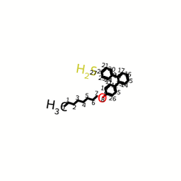 CCCCCCCCOc1ccc(-c2ccccc2-c2ccccc2)cc1.S